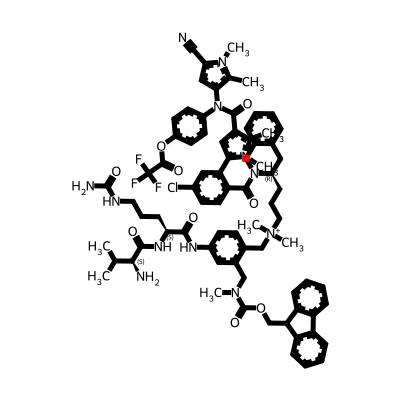 Cc1c(N(C(=O)c2cc(-c3cc(Cl)ccc3C(=O)N3Cc4ccccc4C[C@H]3CCC[N+](C)(C)Cc3ccc(NC(=O)[C@H](CCCNC(N)=O)NC(=O)[C@@H](N)C(C)C)cc3CN(C)C(=O)OCC3c4ccccc4-c4ccccc43)n(C)c2C)c2ccc(OC(=O)C(F)(F)F)cc2)cc(C#N)n1C